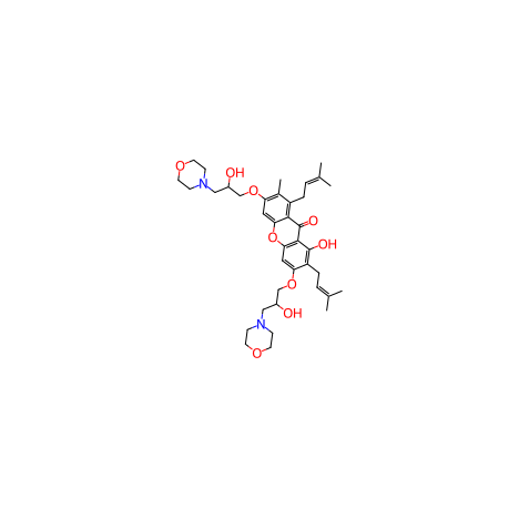 CC(C)=CCc1c(OCC(O)CN2CCOCC2)cc2oc3cc(OCC(O)CN4CCOCC4)c(C)c(CC=C(C)C)c3c(=O)c2c1O